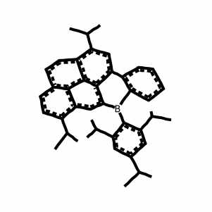 CC(C)c1cc(C(C)C)c(B2c3ccccc3-c3cc(C(C)C)c4ccc5ccc(C(C)C)c6cc2c3c4c56)c(C(C)C)c1